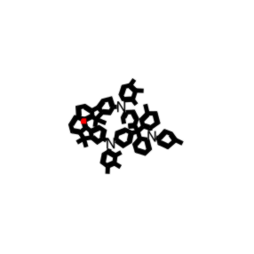 C=C(/C=C\C(=C/C)N(c1ccc2c(c1)C(C)(C)c1ccccc1-2)c1ccc(C)c(C)c1C)C1(c2ccc(N(c3ccc4c(c3)C(C)(C)c3ccccc3-4)c3ccc(C)c(C)c3C)cc2)c2ccccc2N(c2ccc(C)cc2)c2ccc(C)cc21